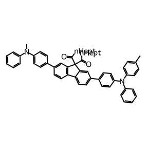 CCCCCCCC(=O)C1(C(=O)CCCCCCC)c2cc(-c3ccc(N(C)c4ccccc4)cc3)ccc2-c2ccc(-c3ccc(N(c4ccccc4)c4ccc(C)cc4)cc3)cc21